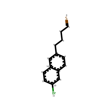 S=CCCCc1ccc2cc(Br)ccc2c1